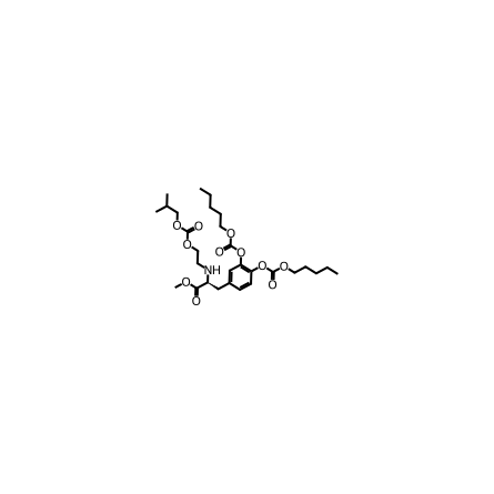 CCCCCOC(=O)Oc1ccc(C[C@H](NCCOC(=O)OCC(C)C)C(=O)OC)cc1OC(=O)OCCCCC